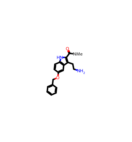 CNC(=O)c1[nH]c2ccc(OCc3ccccc3)cc2c1CCN